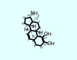 C[C@]12CC[C@H]3[C@@H](C=CC4CCC(O)=C(O)[C@@]43C)[C@@H]1CC[C@@H]2N